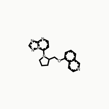 c1cc(OCC2CCCN2c2ccnc3ncnn23)c2ccncc2c1